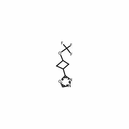 FC(F)(F)OC1CC(c2nn[c]o2)C1